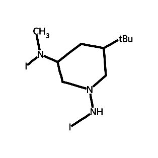 CN(I)C1CC(C(C)(C)C)CN(NI)C1